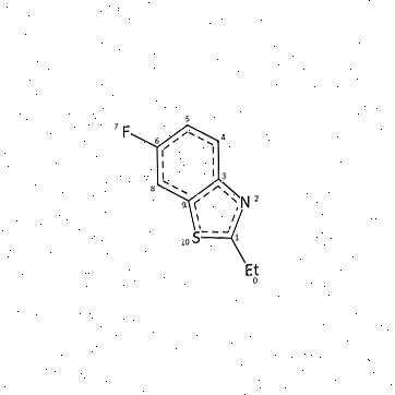 [CH2]Cc1nc2ccc(F)cc2s1